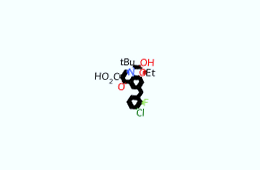 CCOc1cc(Cc2cccc(Cl)c2F)cc2c(=O)c(C(=O)O)cn([C@H](CO)C(C)(C)C)c12